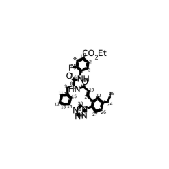 CCOC(=O)c1ccc(NC(=O)[C@H](Cc2ccccc2)NC(=O)/C=C/c2cc(CI)ccc2-n2cnnn2)c(F)c1